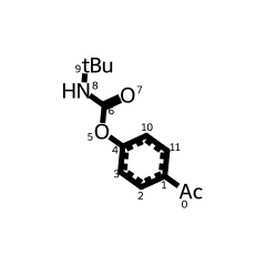 CC(=O)c1ccc(OC(=O)NC(C)(C)C)cc1